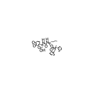 CCCC[C@H](COC(=O)N(Cc1cccs1)C(C)c1cccs1)NC(=O)N[C@H](CC(=O)O)c1ccc2c(c1)OCO2